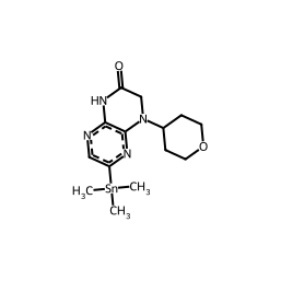 [CH3][Sn]([CH3])([CH3])[c]1cnc2c(n1)N(C1CCOCC1)CC(=O)N2